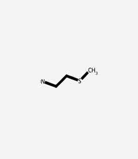 CSCC[N]